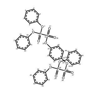 O=P(Oc1ccccc1)(Oc1ccccc1)S(=O)(=O)Oc1ccc(OS(=O)(=O)P(=O)(Oc2ccccc2)Oc2ccccc2)cc1